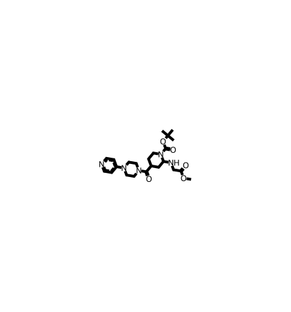 COC(=O)CNC1CC(C(=O)N2CCN(c3ccncc3)CC2)CCN1C(=O)OC(C)(C)C